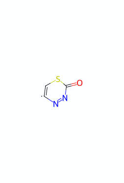 O=c1nn[c]cs1